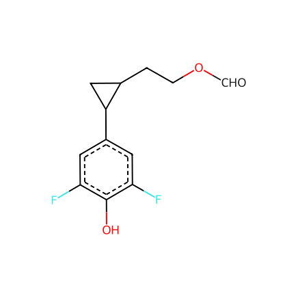 O=COCCC1CC1c1cc(F)c(O)c(F)c1